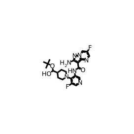 CC(C)(C)OC(O)C1CCN(c2c(F)cncc2NC(=O)c2c(N)nn3cc(F)cnc23)CC1